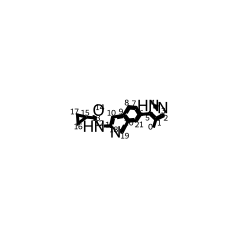 Cc1cn[nH]c1-c1ccc2cc(NC(=O)C3CC3)ncc2c1